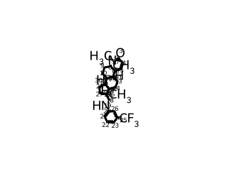 CN1C(=O)C=C[C@@]2(C)C1CC[C@@H]1[C@H]2CC[C@]2(C)C(CNc3cccc(C(F)(F)F)c3)CC[C@@H]12